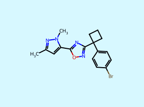 Cc1cc(-c2nc(C3(c4ccc(Br)cc4)CCC3)no2)n(C)n1